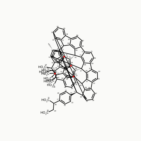 C[C@]12C3=C4C5=C1[C@@]1(c6ccc(C(CC(=O)O)C(=O)O)cc6)c6c7ccc8c6[C@]5(c5ccc(C(CC(=O)O)C(=O)O)cc5)c5c-8ccc6c5[C@]4(c4ccc(C(CC(=O)O)C(=O)O)cc4)c4c-6ccc5c4[C@]3(c3ccc(C(CC(=O)O)C(=O)O)cc3)c3c-5ccc4c3[C@]2(c2ccc(C(CC(=O)O)C(=O)O)cc2)c2c-4ccc-7c21